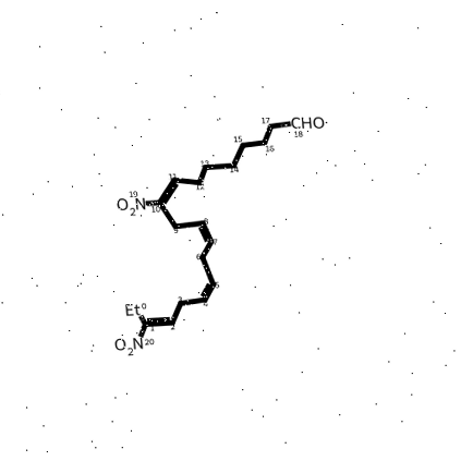 CC/C(=C\C/C=C\C/C=C\C/C(=C\CCCCCC[C]=O)[N+](=O)[O-])[N+](=O)[O-]